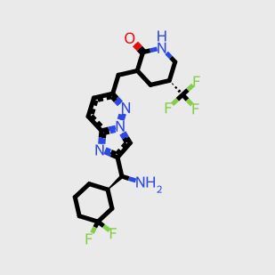 NC(c1cn2nc(CC3C[C@@H](C(F)(F)F)CNC3=O)ccc2n1)[C@@H]1CCCC(F)(F)C1